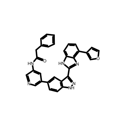 O=C(Cc1ccccc1)Nc1cncc(-c2ccc3[nH]nc(-c4nc5c(-c6ccoc6)cccc5[nH]4)c3c2)c1